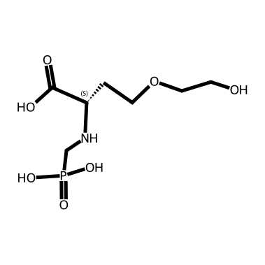 O=C(O)[C@H](CCOCCO)NCP(=O)(O)O